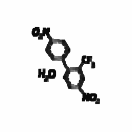 O.O=[N+]([O-])c1ccc(-c2ccc([N+](=O)[O-])cc2C(F)(F)F)cc1